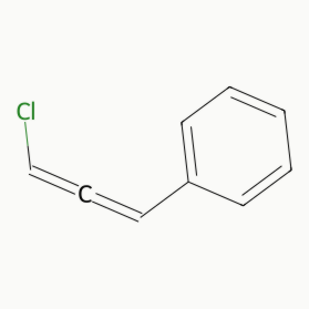 ClC=C=Cc1ccccc1